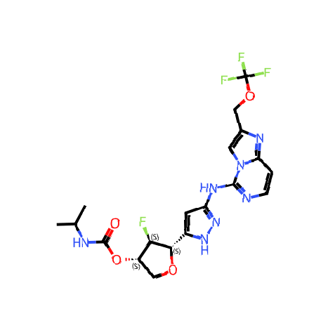 CC(C)NC(=O)O[C@H]1CO[C@@H](c2cc(Nc3nccc4nc(COC(F)(F)F)cn34)n[nH]2)[C@@H]1F